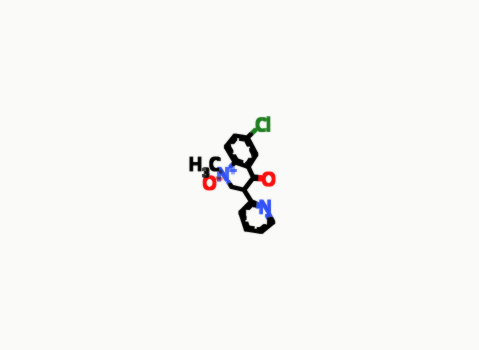 C[N+]1([O-])CC(c2ccccn2)C(=O)c2cc(Cl)ccc21